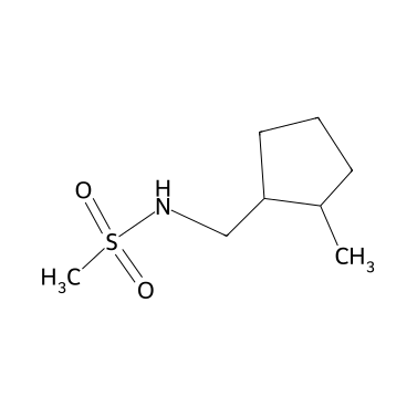 CC1CCCC1CNS(C)(=O)=O